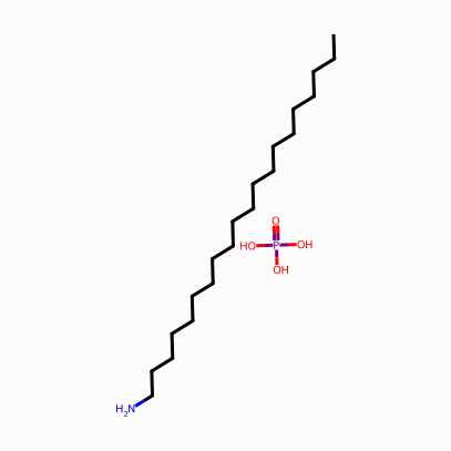 CCCCCCCCCCCCCCCCCCCCN.O=P(O)(O)O